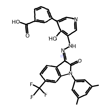 Cc1cc(C)cc(N2C(=O)/C(=N\Nc3cncc(-c4cccc(C(=O)O)c4)c3O)c3ccc(C(F)(F)F)cc32)c1